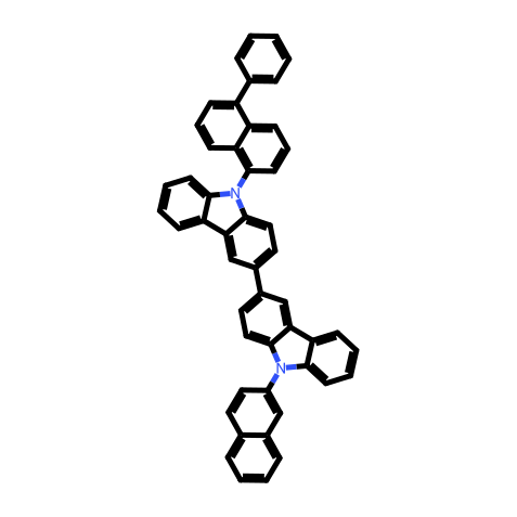 c1ccc(-c2cccc3c(-n4c5ccccc5c5cc(-c6ccc7c(c6)c6ccccc6n7-c6ccc7ccccc7c6)ccc54)cccc23)cc1